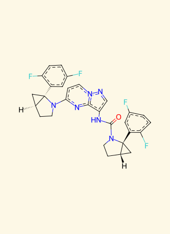 O=C(Nc1cnn2ccc(N3CC[C@H]4C[C@]43c3cc(F)ccc3F)nc12)N1CC[C@H]2C[C@]21c1cc(F)ccc1F